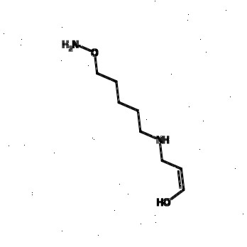 NOCCCCCNC/C=C\O